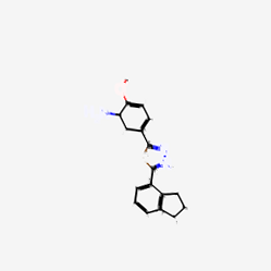 CC(C)OC1=CC=C(c2nnc(-c3cccc4c3CCC4)s2)CC1N